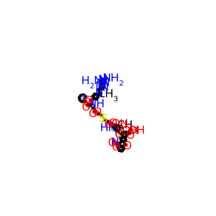 C[C@@H]1O[C@@H](O[C@H]2C[C@](O)(C(=O)CO)Cc3cc4c(cc32)-c2c(N=O)oc3cccc(c23)C4=O)C[C@@H](NC(=O)OCCSSCCOC(=O)CC[C@@H](NC(=O)c2ccc(N(C)Cc3cnc4nc(N)nc(N)c4n3)cc2)C(=O)OC2/C=C/CCCCC2)[C@@H]1O